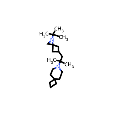 CC(C)(C)N1CC12CC(CC(C)(C)N1CCC3(CCC3)CC1)C2